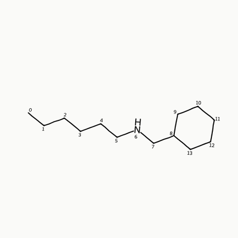 CCCCCCNCC1CCCCC1